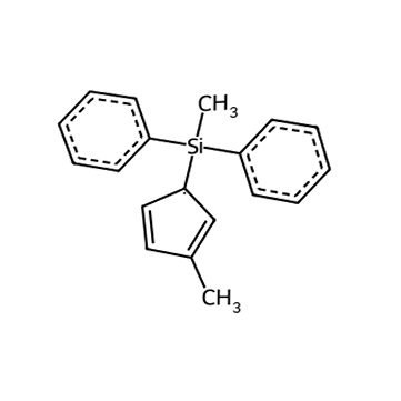 CC1=C[C]([Si](C)(c2ccccc2)c2ccccc2)C=C1